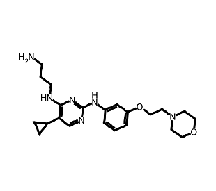 NCCCNc1nc(Nc2cccc(OCCN3CCOCC3)c2)ncc1C1CC1